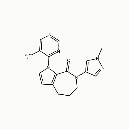 Cn1cc(N2CCCc3ccn(-c4ncncc4C(F)(F)F)c3C2=O)cn1